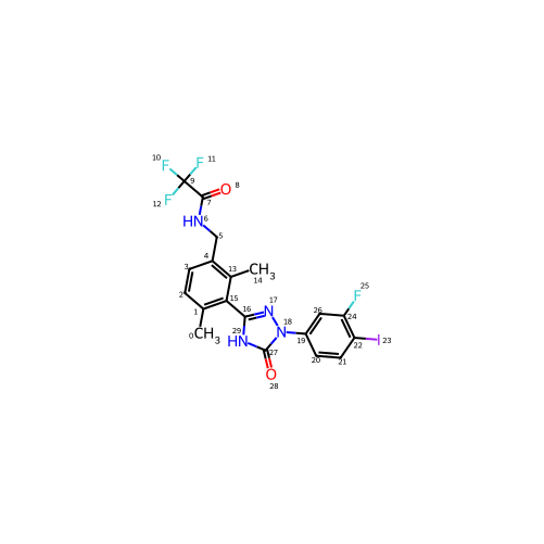 Cc1ccc(CNC(=O)C(F)(F)F)c(C)c1-c1nn(-c2ccc(I)c(F)c2)c(=O)[nH]1